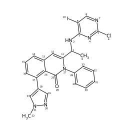 CC(Nc1nc(Cl)ncc1I)c1cc2cccc(-c3cnn(C)c3)c2c(=O)n1-c1ccccc1